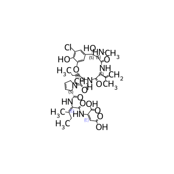 C=C(C)[C@@H]1NC(=O)[C@@H](NC)[C@@H](O)c2cc(Cl)c(O)c(c2)O[C@](C)(CC)[C@@H](C(=O)N2CC=C[C@H]2C(=O)N/C(C(=O)N/C(=C/C(=O)O)C(=O)O)=C(\C)CC)NC1=O